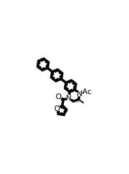 CC(=O)N1c2ccc(-c3ccc(-c4ccccc4)cc3)cc2N(C(=O)c2ccco2)C[C@@H]1C